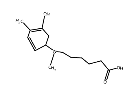 CC1=C(O)CC(N(C)CCCCCC(=O)O)C=C1